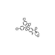 O=C(c1cc2c(cc1F)O[C@](c1ccc(Cl)cc1)(c1ccc(Cl)cc1Cl)O2)N1CCOCC1